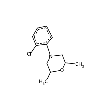 CC1CN(c2cc[c]cc2Cl)CC(C)O1